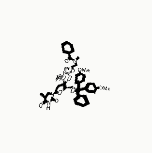 COc1ccc(C(OC[C@H]2O[C@@H](n3cc(C)c(=O)[nH]c3=O)C[C@]2(O)OP(OCCN(C)C(=O)c2ccccc2)N(C(C)C)C(C)C)(c2ccccc2)c2ccc(OC)cc2)cc1